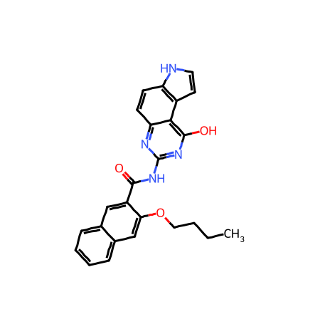 CCCCOc1cc2ccccc2cc1C(=O)Nc1nc(O)c2c(ccc3[nH]ccc32)n1